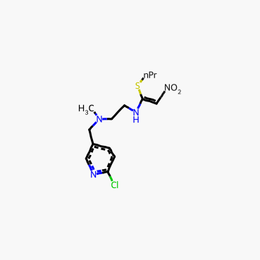 CCCSC(=C[N+](=O)[O-])NCCN(C)Cc1ccc(Cl)nc1